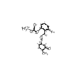 COC(=O)Oc1cccc(F)c1COc1ccc(C)c(Cl)c1